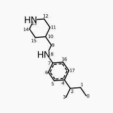 CCC(C)c1ccc(NCC2CCNCC2)cc1